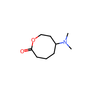 CN(C)C1CCCC(=O)OCC1